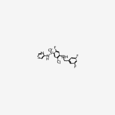 [O-][S+](Nc1cscn1)c1cc(Cl)c(NCc2cc(F)cc(F)c2)cc1F